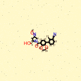 CO/N=C1\C[C@@H](CO)N(C(=O)c2ccc(-c3cccc(C#N)c3C)c3c2OCCO3)C1